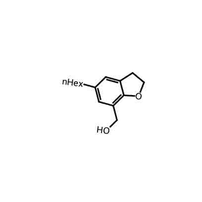 CCCCCCc1cc(CO)c2c(c1)CCO2